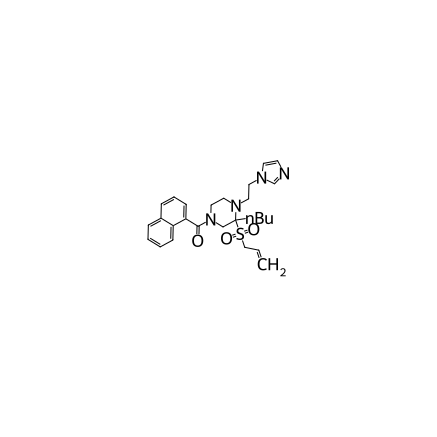 C=CCS(=O)(=O)C1(CCCC)CN(C(=O)c2cccc3ccccc23)CCN1CCn1ccnc1